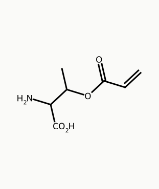 C=CC(=O)OC(C)C(N)C(=O)O